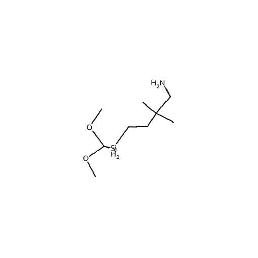 COC(OC)[SiH2]CCC(C)(C)CN